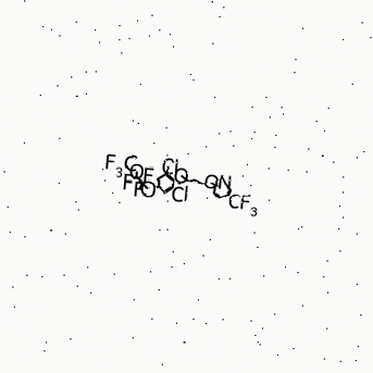 FC(OC(F)(F)F)C(F)(F)Oc1cc(Cl)c(OCCCOc2ccc(C(F)(F)F)cn2)c(Cl)c1